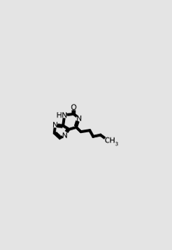 CCCCCc1nc(=O)[nH]c2nccnc12